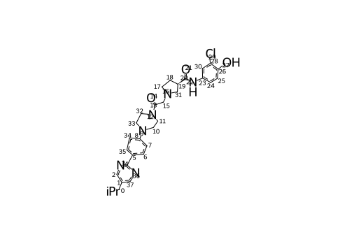 CC(C)c1cnc(-c2ccc(N3CCN(C(=O)CN4CC[C@@H](C(=O)Nc5ccc(O)c(Cl)c5)C4)CC3)cc2)nc1